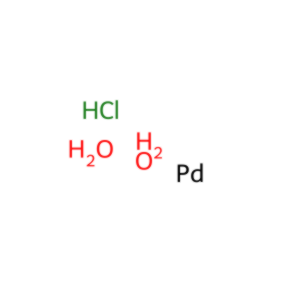 Cl.O.O.[Pd]